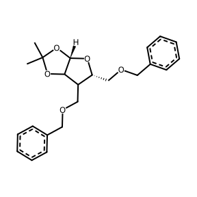 CC1(C)OC2C(COCc3ccccc3)[C@@H](COCc3ccccc3)O[C@H]2O1